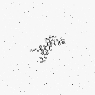 CCC(C)(C)C(=O)OCC[C@@](N)(Cc1ccc(OC(=O)CCC(C)C)c(OC(=O)CCC(C)C)c1)C(=O)OC